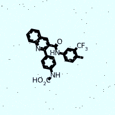 Cc1ccc(NC(=O)c2cc3ccccc3nc2-c2ccc(NC(=O)O)cc2)cc1C(F)(F)F